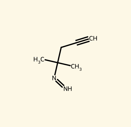 C#CCC(C)(C)N=N